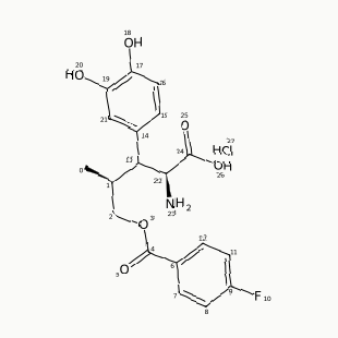 C[C@H](COC(=O)c1ccc(F)cc1)C(c1ccc(O)c(O)c1)[C@H](N)C(=O)O.Cl